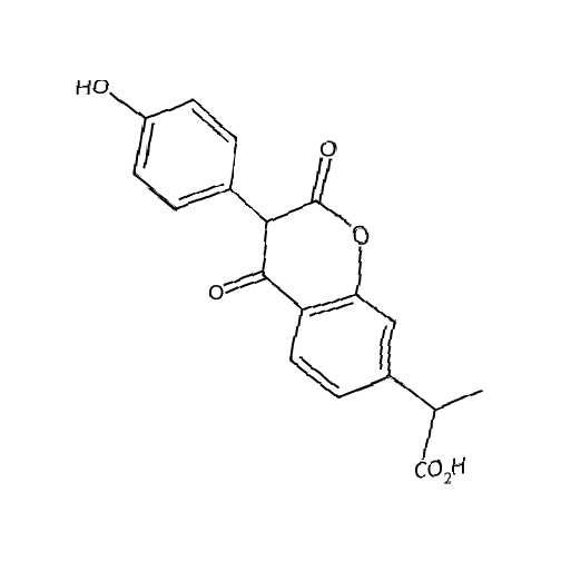 CC(C(=O)O)c1ccc2c(c1)OC(=O)C(c1ccc(O)cc1)C2=O